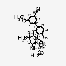 BC1(B)CC2(N=C(N)O1)c1cc(-c3cc(C#N)cc(OC)c3)ccc1C[C@]21CC[C@@H](OC)CC1